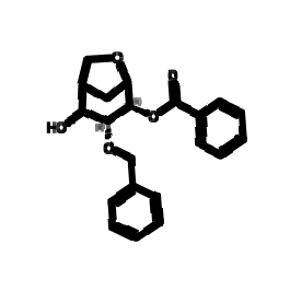 O=C(O[C@@H]1C2CC(CO2)C(O)[C@H]1OCc1ccccc1)c1ccccc1